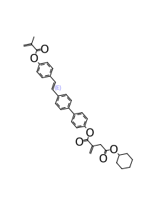 C=C(C)C(=O)Oc1ccc(/C=C/c2ccc(-c3ccc(OC(=O)C(=C)CC(=O)OC4CCCCC4)cc3)cc2)cc1